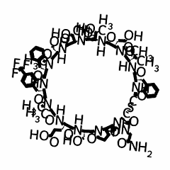 CC(C)[C@@H]1NC(=O)[C@H](Cc2ccccc2)NC(=O)CSC[C@@H](C(=O)NCC(N)=O)NC(=O)[C@@H]2CCCN2C(=O)[C@H](CO)NC(=O)[C@H](CCC(=O)O)NC(=O)[C@H](C)N(C)C(=O)[C@H](Cc2ccc(C(F)(F)F)cc2)NC(=O)[C@H](Cc2ccccc2)N(C)C(=O)[C@H](CO)NC(=O)[C@H]([C@@H](C)O)NC(=O)[C@H]([C@@H](C)O)NC(=O)[C@H](CC(=O)O)NC1=O